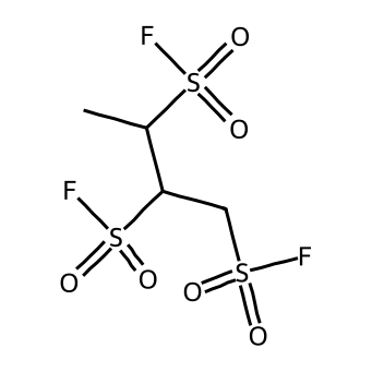 CC(C(CS(=O)(=O)F)S(=O)(=O)F)S(=O)(=O)F